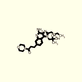 CCOCc1nc2c(N)nc3cc(CCC(=O)N4CCOCC4)ccc3c2n1CC(C)(C)O